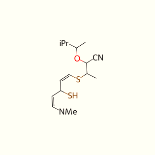 CN/C=C\C(S)/C=C\SC(C)C(C#N)OC(C)C(C)C